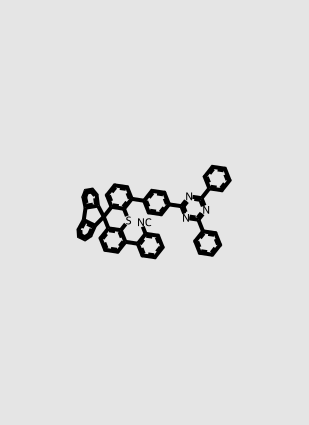 N#Cc1ccccc1-c1cccc2c1Sc1c(-c3ccc(-c4nc(-c5ccccc5)nc(-c5ccccc5)n4)cc3)cccc1C21c2ccccc2-c2ccccc21